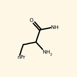 CCCCC(N)C([NH])=O